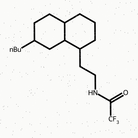 CCCCC1CCC2CCCC(CCNC(=O)C(F)(F)F)C2C1